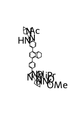 COC(=O)N[C@H](C(=O)N1C2CC2C[C@H]1c1ncc(-c2ccc(-c3ccc(-c4ccc5nc([C@H]6CC7CC7N6C(C)=O)[nH]c5c4)c4c3C3CCC4CC3)cc2)[nH]1)C(C)C